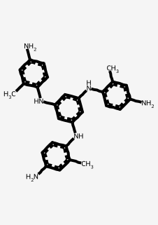 Cc1cc(N)ccc1Nc1cc(Nc2ccc(N)cc2C)cc(Nc2ccc(N)cc2C)c1